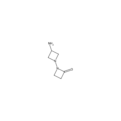 NC1CN(N2CCC2=O)C1